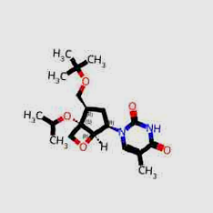 Cc1cn([C@@H]2C[C@H](COC(C)(C)C)[C@]3(OC(C)C)CO[C@H]23)c(=O)[nH]c1=O